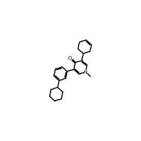 Cn1cc(-c2cccc(C3CCCCC3)c2)c(=O)c(C2CC=CCC2)c1